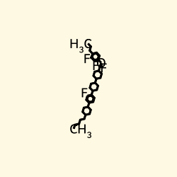 CCCCCC1CCC(c2ccc(C3CCC(C4CCC(C(F)(F)Oc5ccc(CCC)c(F)c5)CC4)CC3)c(F)c2)CC1